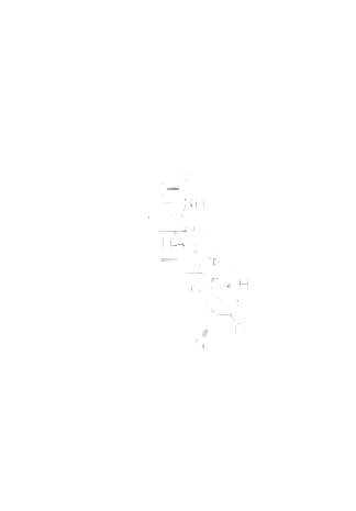 C=C1C[C@@H]2[C@@]3(C)C=C(C#N)C(=O)C(C)(C)[C@@H]3CC[C@@]2(C)[C@]2(C)CC[C@@]3(NC(=O)OC)CCC(C)(C)C[C@H]3[C@@H]12